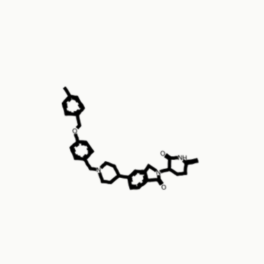 C=C1CCC(N2Cc3cc(C4CCN(Cc5ccc(OCc6ccc(C)cc6)cc5)CC4)ccc3C2=O)C(=O)N1